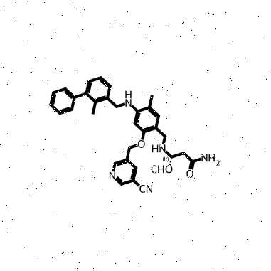 Cc1cc(CN[C@@H](C=O)CC(N)=O)c(OCc2cncc(C#N)c2)cc1NCc1cccc(-c2ccccc2)c1C